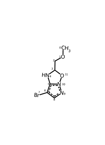 COCC1Nc2c(Br)cnn2O1